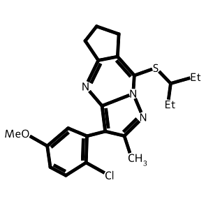 CCC(CC)Sc1c2c(nc3c(-c4cc(OC)ccc4Cl)c(C)nn13)CCC2